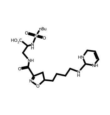 CCCCS(=O)(=O)NC(CNC(=O)C1=NOC(CCCCNC2NC=CCN2)C1)C(=O)O